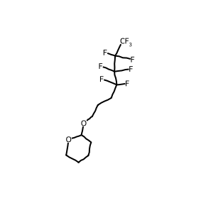 FC(F)(F)C(F)(F)C(F)(F)C(F)(F)CCCOC1CCCCO1